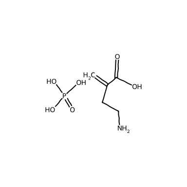 C=C(CCN)C(=O)O.O=P(O)(O)O